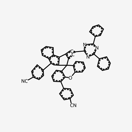 N#Cc1ccc(-c2cccc3c2Oc2ccccc2C32c3cc(-c4nc(-c5ccccc5)nc(-c5ccccc5)n4)ccc3-c3c2cc(-c2ccc(C#N)cc2)c2ccccc32)cc1